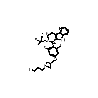 C[C@@H]1Cc2c([nH]c3cccnc23)[C@@H](c2c(F)cc(OC3CN(CCCF)C3)cc2F)N1CC(C)(C)F